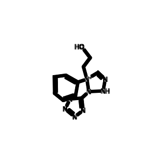 OCC[N+]1(c2ccccc2)[C]=NNN1c1nnn[nH]1